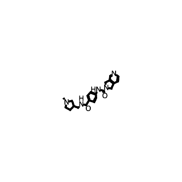 CN1CCC(CNC(=O)c2ccc(NC(=O)N3Cc4ccncc4C3)cc2)C1